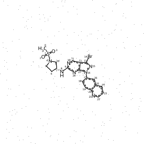 CS(=O)(=O)N1CC[C@@H](Nc2ncc3c(Br)nn(-c4ccc5ncccc5c4)c3n2)C1